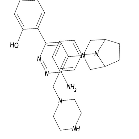 Nc1nnc(-c2ccccc2O)cc1N1CC2CCC(C1)N2c1cccc(CN2CCNCC2)c1